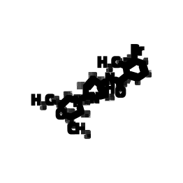 Cc1c(Br)cccc1C(=O)Nc1ccc(N2C[C@@H](C)O[C@@H](C)C2)nc1